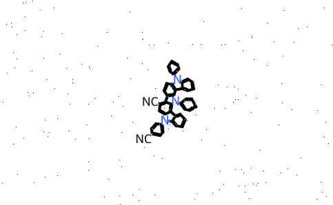 N#Cc1ccc(-n2c3ccccc3c3c2cc(C#N)c2c4ccc5c(c6ccccc6n5-c5ccccc5)c4n(-c4ccccc4)c23)cc1